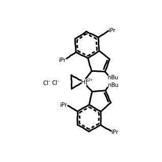 CCCCC1=Cc2c(C(C)C)ccc(C(C)C)c2[CH]1[Hf+2]1([CH]2C(CCCC)=Cc3c(C(C)C)ccc(C(C)C)c32)[CH2][CH2]1.[Cl-].[Cl-]